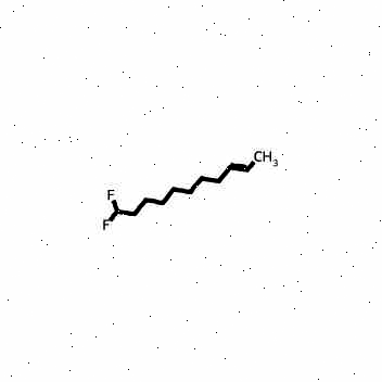 C/C=C/CCCCCCCC(F)F